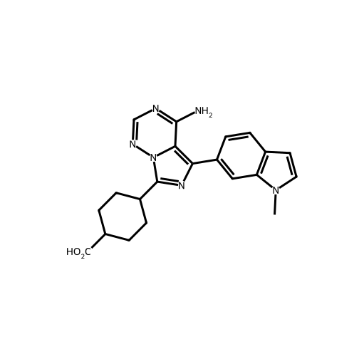 Cn1ccc2ccc(-c3nc(C4CCC(C(=O)O)CC4)n4ncnc(N)c34)cc21